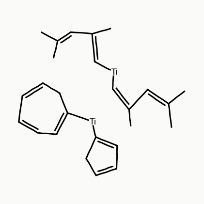 C1=CC=[C]([Ti][C]2=CC=CC2)CC=C1.CC(C)=CC(C)=[CH][Ti][CH]=C(C)C=C(C)C